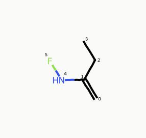 C=C(CC)NF